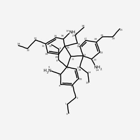 CCCC1=CC(N)C(CCC)(C(C2(CCC)C=CC(CCC)=CC2N)C2(CCC)C=CC(CCC)=CC2N)C=C1